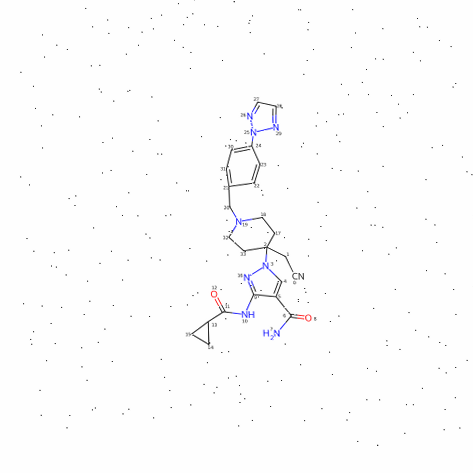 N#CCC1(n2cc(C(N)=O)c(NC(=O)C3CC3)n2)CCN(Cc2ccc(-n3nccn3)cc2)CC1